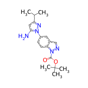 CC(C)c1cc(N)n(-c2ccc3c(cnn3C(=O)OC(C)(C)C)c2)n1